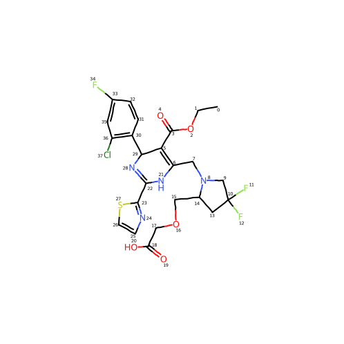 CCOC(=O)C1=C(CN2CC(F)(F)CC2COCC(=O)O)NC(c2nccs2)=NC1c1ccc(F)cc1Cl